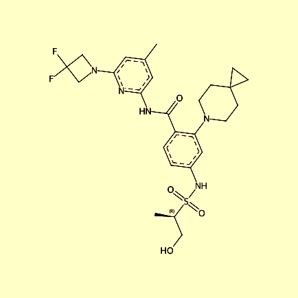 Cc1cc(NC(=O)c2ccc(NS(=O)(=O)[C@H](C)CO)cc2N2CCC3(CC2)CC3)nc(N2CC(F)(F)C2)c1